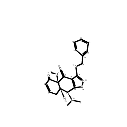 CO[C@]12C(=O)C=CC[C@H]1[C@H](N(C)C)c1onc(OCc3ccccc3)c1C2=O